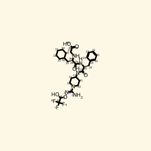 N/C(=N\OC(O)C(F)(F)F)N1CCC(NC(=O)[C@H](Cc2ccccc2)NC(=O)[C@@H](CC2CCCCC2)NCC(=O)O)CC1